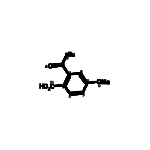 CCCCC(=O)c1cc(OC)ccc1C(=O)O